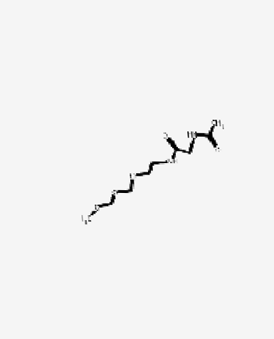 COCOCOCCNC(=O)CNC(C)=O